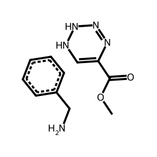 COC(=O)C1=CNNN=N1.NCc1ccccc1